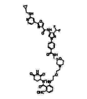 CN(C(=O)c1c(C=O)cccc1NCCOCCN1CCO[C@@H](CNC(=O)c2ccc(-n3cc(NC(=O)c4coc(-c5ccnc(NCC6CC6)c5)n4)c(C(F)F)n3)cc2)C1)C1CCC(=O)NC1=O